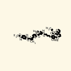 C=CCOC(=O)N1c2cc(OCCCC(=O)Nc3cc(C(=O)Nc4ccc(-c5cc(C)c(C(=O)Nc6ccc(NC(=O)C(F)(F)F)cc6)s5)nc4)n(C)c3)c(OC)cc2C(=O)N2CCCC[C@H]2C1OC1CCCCO1